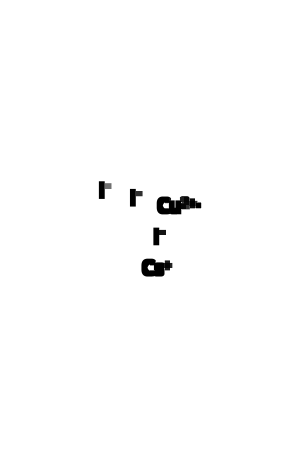 [Cs+].[Cu+2].[I-].[I-].[I-]